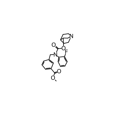 COC(=O)c1cccc(CN(C(=O)OC2CN3CCC2CC3)c2ccccc2F)c1